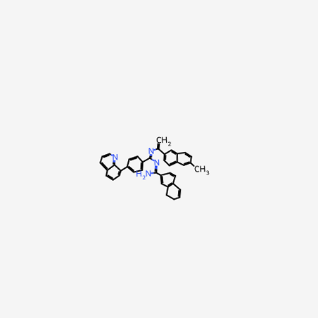 C=C(/N=C(\N=C(/N)c1ccc2c(c1)CCC=C2)c1ccc(-c2cccc3cccnc23)cc1)c1ccc2cc(C)ccc2c1